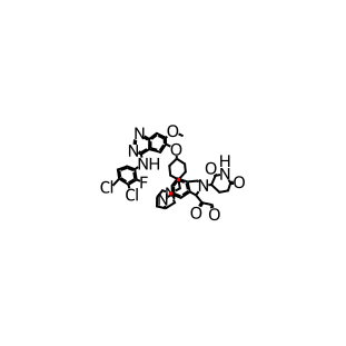 COc1cc2ncnc(Nc3ccc(Cl)c(Cl)c3F)c2cc1OC1CCC(CN2CC3CC(C2)N3c2ccc3c(c2)C(C(=O)C=O)N(C2CCC(=O)NC2=O)C3)CC1